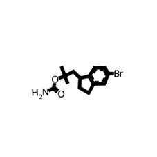 CC(C)(CC1CCc2cc(Br)ccc21)OC(N)=O